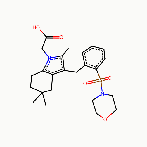 Cc1c(Cc2ccccc2S(=O)(=O)N2CCOCC2)c2c(n1CC(=O)O)CCC(C)(C)C2